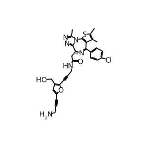 Cc1sc2c(c1C)C(c1ccc(Cl)cc1)=N[C@@H](CC(=O)NCC#Cc1oc(C#CCN)cc1CO)c1nnc(C)n1-2